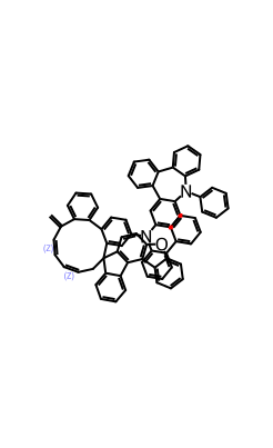 C=C1/C=C\C=C/CC2(c3cc(N(c4ccc5c(c4)-c4ccccc4-c4ccccc4N5c4ccccc4)c4ccccc4-c4ccccc4)ccc3-c3ccccc31)c1ccccc1-c1c2ccc2oc3ccccc3c12